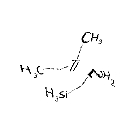 N[SiH3].[CH3][Ti][CH3]